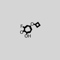 O=c1c(O)ccc(OC2CCC2)cc1F